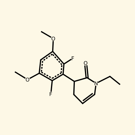 CCN1C=CCC(c2c(F)c(OC)cc(OC)c2F)C1=O